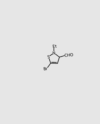 CCN1SC(Br)=CC1C=O